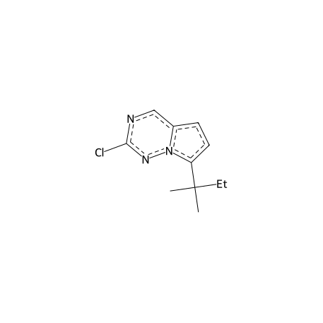 CCC(C)(C)c1ccc2cnc(Cl)nn12